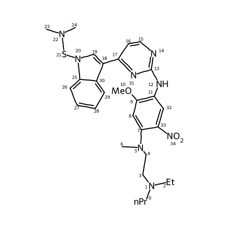 CCCN(CC)CCN(C)c1cc(OC)c(Nc2nccc(-c3cn(SN(C)C)c4ccccc34)n2)cc1[N+](=O)[O-]